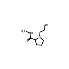 CNC(=O)C1CCCN1CCO